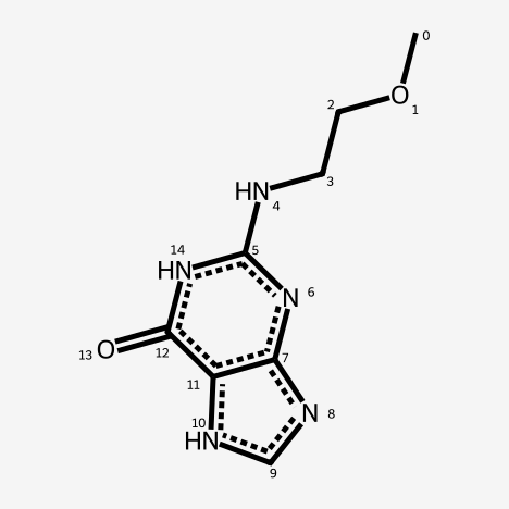 COCCNc1nc2nc[nH]c2c(=O)[nH]1